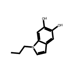 CCCn1ccc2cc(O)c(O)cc21